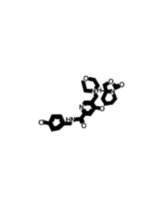 O=C(NCc1ccc(Cl)cc1)c1cc(O[C@H]2CCN3C(=O)OC[C@@H]3C2)c(CN2CCOCC2)cn1